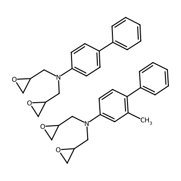 Cc1cc(N(CC2CO2)CC2CO2)ccc1-c1ccccc1.c1ccc(-c2ccc(N(CC3CO3)CC3CO3)cc2)cc1